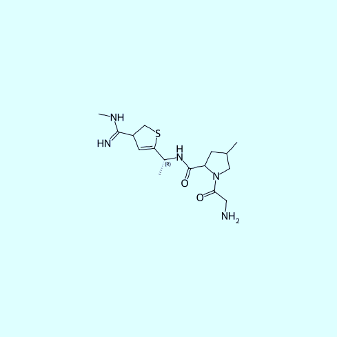 CNC(=N)C1C=C([C@@H](C)NC(=O)C2CC(C)CN2C(=O)CN)SC1